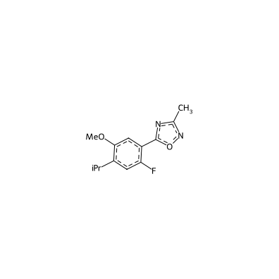 COc1cc(-c2nc(C)no2)c(F)cc1C(C)C